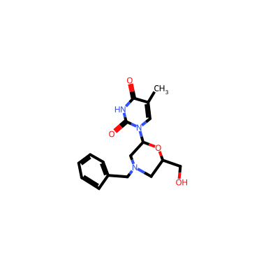 Cc1cn(C2CN(Cc3ccccc3)CC(CO)O2)c(=O)[nH]c1=O